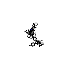 CC(=O)OC(C)O/N=[N+](\[O-])N(C)[C@@H](CC(C)C)C(=O)NS(=O)(=O)c1ccc(-n2nc(C(F)(F)F)cc2-c2ccc(C)cc2)cc1